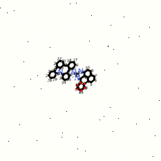 c1ccc(-c2cccc3ccc4nc(-n5c6cccc7c8cccc9c%10ccccc%10n(c%10cccc5c%10c76)c89)nc(-c5ccccc5)c4c23)cc1